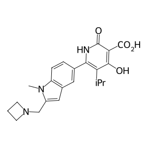 CC(C)c1c(-c2ccc3c(c2)cc(CN2CCC2)n3C)[nH]c(=O)c(C(=O)O)c1O